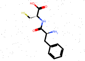 N[C@@H](Cc1ccccc1)C(=O)N[C@H](CS)C(=O)O